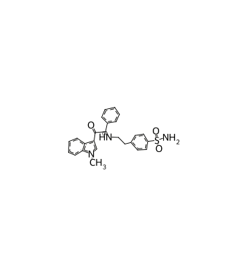 Cn1cc(C(=O)[C@@H](NCCc2ccc(S(N)(=O)=O)cc2)c2ccccc2)c2ccccc21